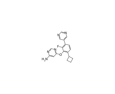 Nc1cc(Oc2c(C3CCC3)ccc(-c3cncnc3)c2F)ncn1